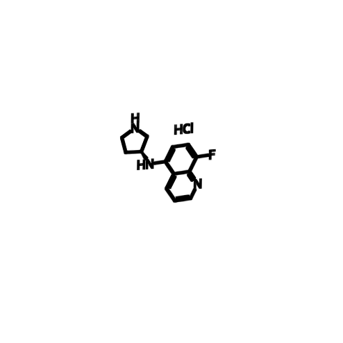 Cl.Fc1ccc(N[C@H]2CCNC2)c2cccnc12